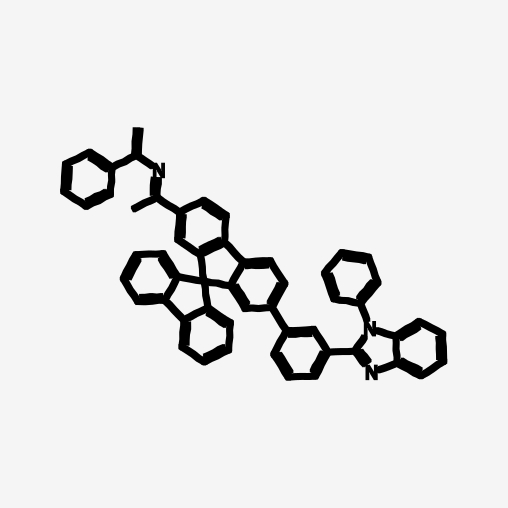 C=C(/N=C(\C)c1ccc2c(c1)C1(c3ccccc3-c3ccccc31)c1cc(-c3cccc(-c4nc5ccccc5n4-c4ccccc4)c3)ccc1-2)c1ccccc1